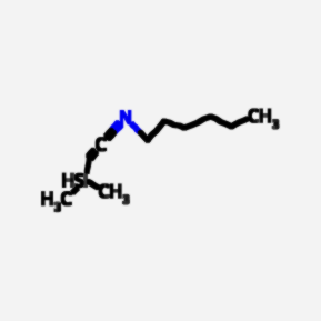 CCCCCCN=C=C[SiH](C)C